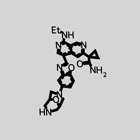 CCNc1ncc(-c2nc3cc(N4CC5CNCC(C4)O5)ccc3o2)c2cc(C3(C(N)=O)CC3)ncc12